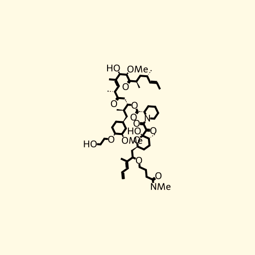 C=C/C=C(\C)C(C[C@@H]1CC[C@@H](C)[C@](O)(C(=O)C(=O)N2CCCC[C@H]2C(=O)O[C@@H](CC(=O)[C@H](C)/C=C(\C)[C@@H](O)[C@@H](OC)C(=O)[C@H](C)C[C@H](C)/C=C/C)[C@H](C)C[C@@H]2CC[C@@H](OCCO)[C@H](OC)C2)O1)OCCCC(=O)NC